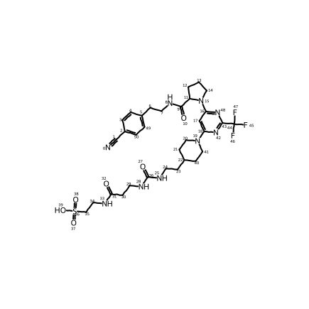 N#Cc1ccc(CCNC(=O)C2CCCN2c2cc(N3CCC(CCNC(=O)NCCC(=O)NCCS(=O)(=O)O)CC3)nc(C(F)(F)F)n2)cc1